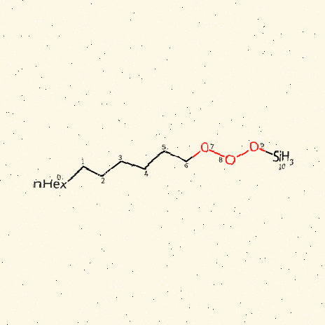 CCCCCCCCCCCCOOO[SiH3]